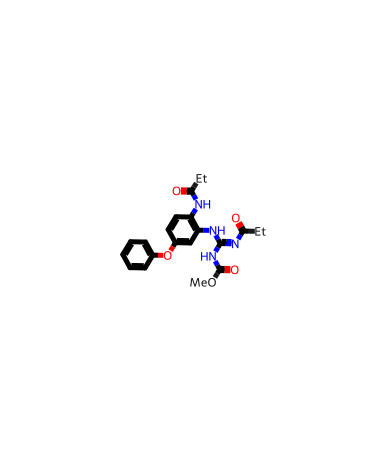 CCC(=O)N=C(NC(=O)OC)Nc1cc(Oc2ccccc2)ccc1NC(=O)CC